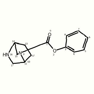 O=C(Oc1ccccc1)N1CC2CCC(C1)NC2